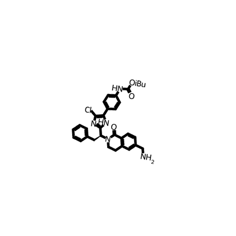 CC(C)COC(=O)Nc1ccc(-c2[nH]c([C@H](Cc3ccccc3)N3CCc4cc(CN)ccc4C3=O)nc2Cl)cc1